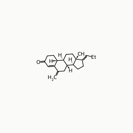 C=C1C[C@@H]2[C@H](CC[C@]3(C)C(=CCC)CC[C@@H]23)[C@H]2CCC(=O)C=C12